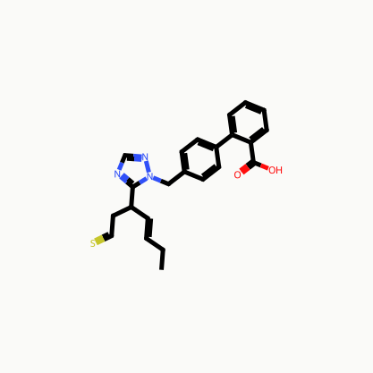 CCC=CC(CC=S)c1ncnn1Cc1ccc(-c2ccccc2C(=O)O)cc1